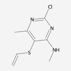 C=CSc1c(C)nc(Cl)nc1NC